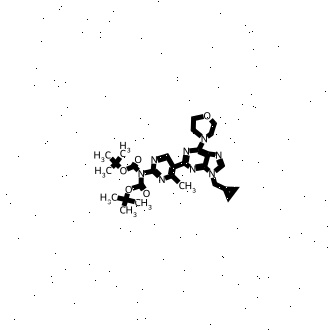 Cc1nc(N(C(=O)OC(C)(C)C)C(=O)OC(C)(C)C)ncc1-c1nc(N2CCOCC2)c2ncn(CC3CC3)c2n1